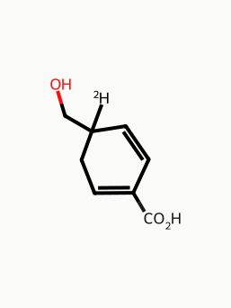 [2H]C1(CO)C=CC(C(=O)O)=CC1